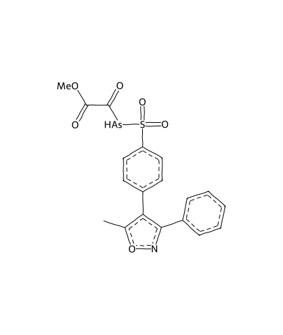 COC(=O)C(=O)[AsH]S(=O)(=O)c1ccc(-c2c(-c3ccccc3)noc2C)cc1